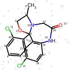 CC1COC2(c3ccccc3Cl)c3cc(Cl)ccc3NC(=O)CN12